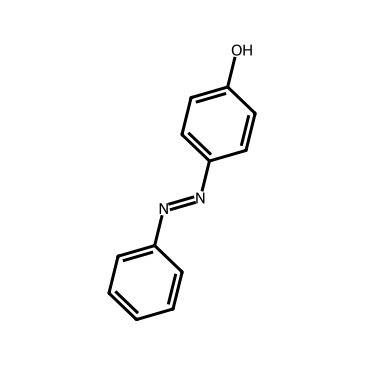 Oc1ccc(/N=N/c2ccccc2)cc1